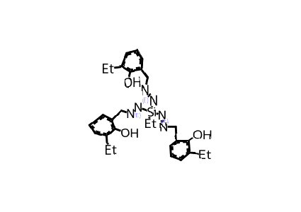 CCc1cccc(C/N=N/[Si](CC)(/N=N/Cc2cccc(CC)c2O)/N=N/Cc2cccc(CC)c2O)c1O